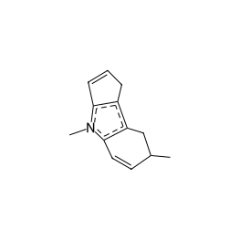 CC1C=Cc2c(c3c(n2C)C=CC3)C1